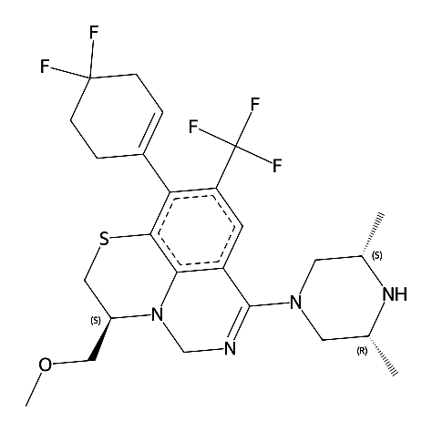 COC[C@H]1CSc2c(C3=CCC(F)(F)CC3)c(C(F)(F)F)cc3c2N1CN=C3N1C[C@@H](C)N[C@@H](C)C1